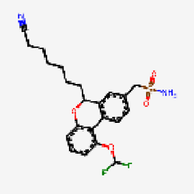 N#CCCCCCCC1Oc2cccc(OC(F)F)c2-c2ccc(CS(N)(=O)=O)cc21